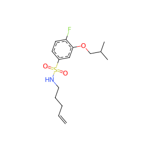 C=CCCCNS(=O)(=O)c1ccc(F)c(OCC(C)C)c1